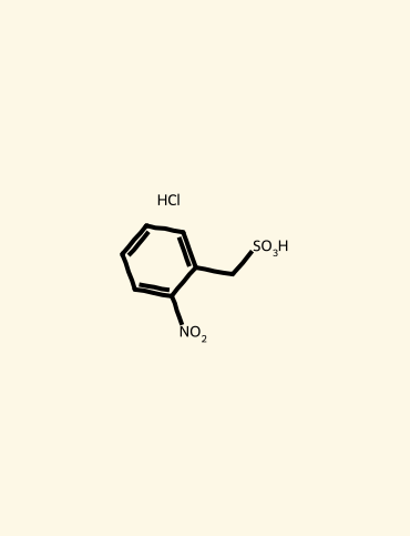 Cl.O=[N+]([O-])c1ccccc1CS(=O)(=O)O